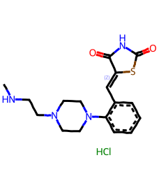 CNCCN1CCN(c2ccccc2/C=C2\SC(=O)NC2=O)CC1.Cl